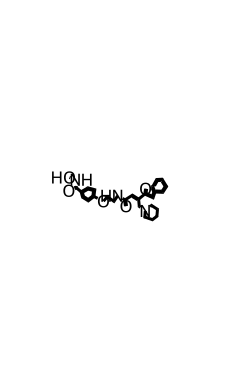 O=C(C=C(CN1CCCCC1)c1cc2ccccc2o1)NCCOc1ccc(C(=O)NO)cc1